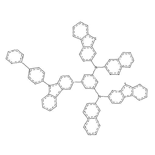 c1ccc(-c2ccc(-n3c4ccccc4c4cc(-c5cc(N(c6ccc7ccccc7c6)c6ccc7c(c6)sc6ccccc67)cc(N(c6ccc7ccccc7c6)c6ccc7c(c6)sc6ccccc67)c5)ccc43)cc2)cc1